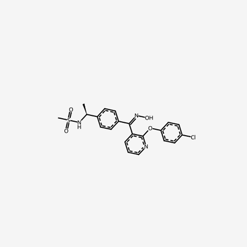 C[C@H](NS(C)(=O)=O)c1ccc(C(=NO)c2cccnc2Oc2ccc(Cl)cc2)cc1